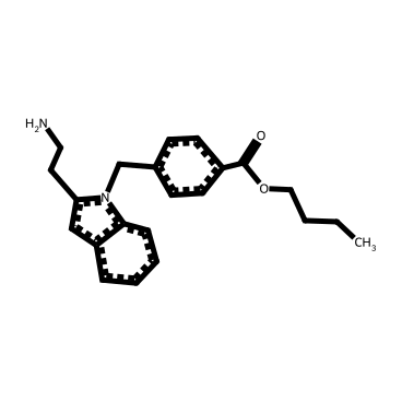 CCCCOC(=O)c1ccc(Cn2c(CCN)cc3ccccc32)cc1